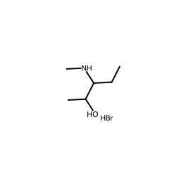 Br.CCC(NC)C(C)O